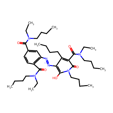 CCCCc1c(/N=N/c2cc(C(=O)N(CC)CCCC)ccc2C(=O)N(CC)CCCC)c(O)n(CCCC)c(=O)c1C(=O)N(CC)CCCC